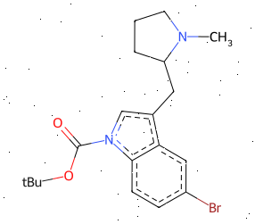 CN1CCCC1Cc1cn(C(=O)OC(C)(C)C)c2ccc(Br)cc12